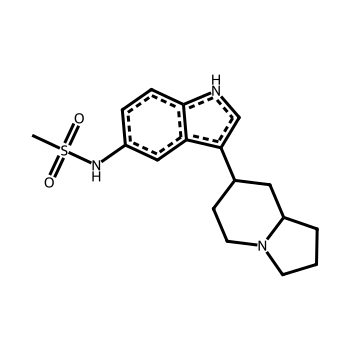 CS(=O)(=O)Nc1ccc2[nH]cc(C3CCN4CCCC4C3)c2c1